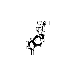 O=S(=O)(O)ON1CN2Cc3[nH]ncc3C1C2